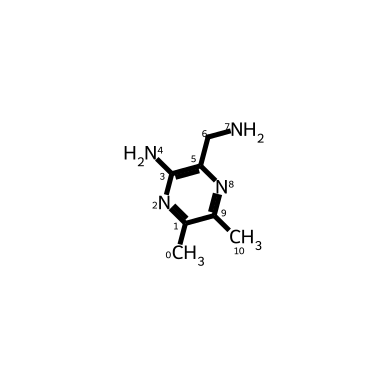 Cc1nc(N)c(CN)nc1C